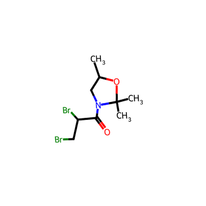 CC1CN(C(=O)C(Br)CBr)C(C)(C)O1